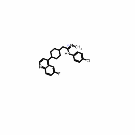 C/N=C(/CC1CCC(c2ccnc3ccc(F)cc23)CC1)Nc1ccc(Cl)cc1